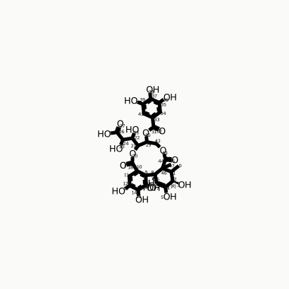 CC1[C@@H](O)C(O)=C(O)[C@H]2c3c(cc(O)c(O)c3O)C(=O)OC(C(O)C(O)C(=O)O)C(OC(=O)c3cc(O)c(O)c(O)c3)COC(=O)C12C